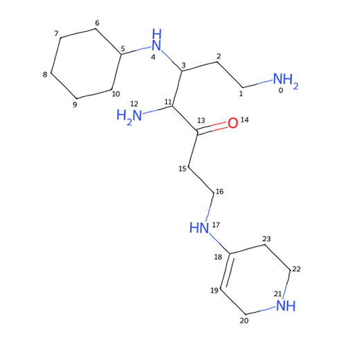 NCCC(NC1CCCCC1)C(N)C(=O)CCNC1=CCNCC1